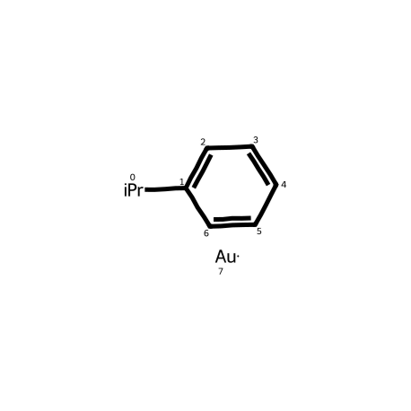 CC(C)c1ccccc1.[Au]